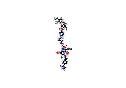 Cc1nccn1-c1ccc([C@H](C)NC(=O)C2C[C@@H](O)CN2C(=O)C(NC(=O)COCC2CCN(c3ccc(C(=O)NC4C(C)(C)C(Oc5ccc(C#N)c(Cl)c5)C4(C)C)cn3)CC2)C(C)(C)C)cc1